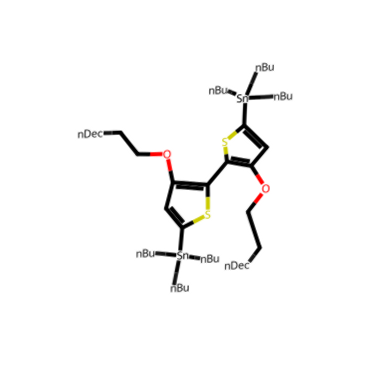 CCCCCCCCCCCCOc1c[c]([Sn]([CH2]CCC)([CH2]CCC)[CH2]CCC)sc1-c1s[c]([Sn]([CH2]CCC)([CH2]CCC)[CH2]CCC)cc1OCCCCCCCCCCCC